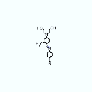 Cc1cc(N(CCO)CCO)ccc1/N=N/c1ccc(C#N)cc1